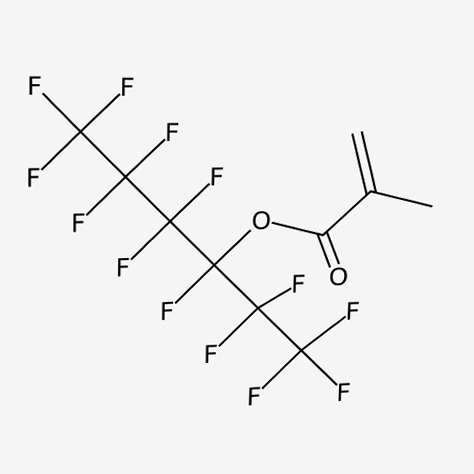 C=C(C)C(=O)OC(F)(C(F)(F)C(F)(F)F)C(F)(F)C(F)(F)C(F)(F)F